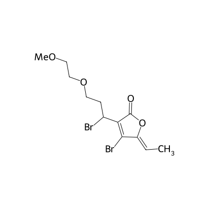 C/C=C1\OC(=O)C(C(Br)CCOCCOC)=C1Br